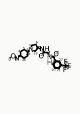 CON=C1CCC(N2CC[C@@H](NC(=O)CNC(=O)c3cccc(C(F)(F)F)c3)C2)CC1